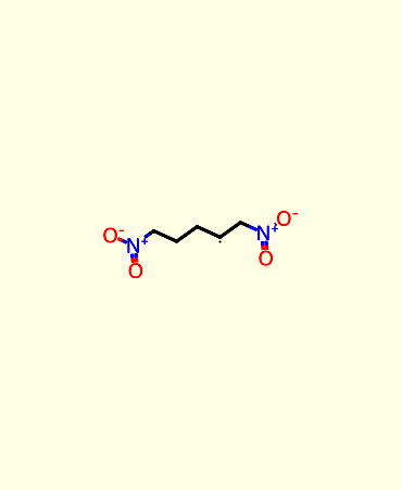 O=[N+]([O-])C[CH]CCC[N+](=O)[O-]